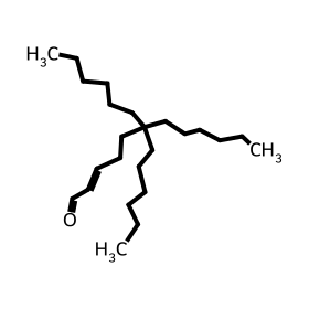 CCCCCCC(CCC=CC=O)(CCCCCC)CCCCCC